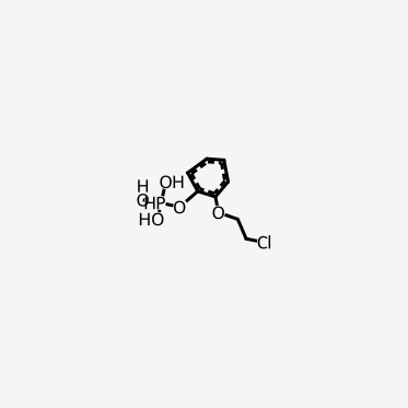 O[PH](O)(O)Oc1ccccc1OCCCl